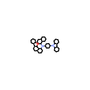 c1ccc2c(N(c3ccc(-n4c5ccccc5c5ccccc54)cc3)c3cccc4ccc5c6ccccc6oc5c34)cccc2c1